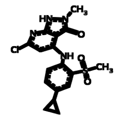 Cn1[nH]c2nc(Cl)cc(Nc3ccc(C4CC4)cc3S(C)(=O)=O)c2c1=O